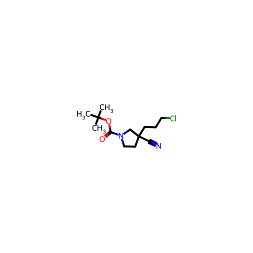 CC(C)(C)OC(=O)N1CCC(C#N)(CCCCl)C1